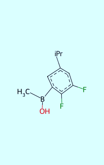 CB(O)c1cc(C(C)C)cc(F)c1F